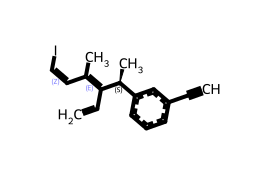 C#Cc1cccc([C@H](C)/C(C=C)=C(C)/C=C\I)c1